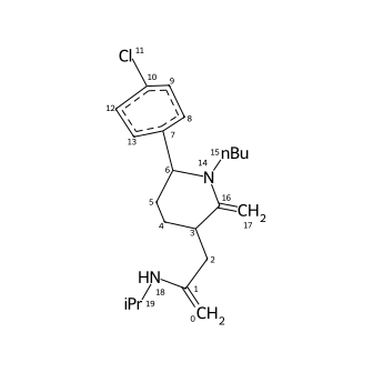 C=C(CC1CCC(c2ccc(Cl)cc2)N(CCCC)C1=C)NC(C)C